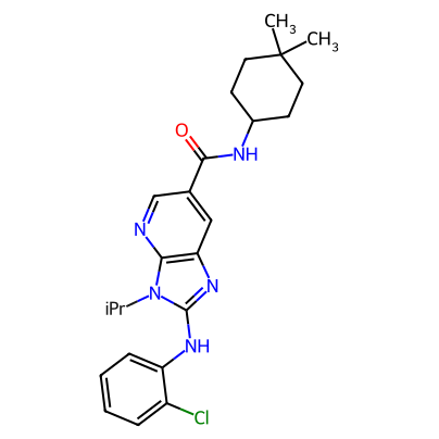 CC(C)n1c(Nc2ccccc2Cl)nc2cc(C(=O)NC3CCC(C)(C)CC3)cnc21